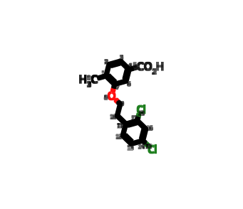 Cc1ccc(C(=O)O)cc1OCCc1ccc(Cl)cc1Cl